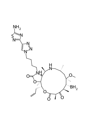 B[C@@H]1[C@@H](C)C(=O)[C@@H](C)C(=O)O[C@H](CC=C)[C@@]2(C)OC(=O)N(CCCCn3cc(-c4nsc(N)n4)nn3)[C@@H]2[C@@H](C)NC[C@H](C)C[C@@]1(C)OC